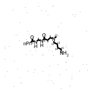 CCCC(=O)NCNC(=O)CCN(C)CCCCN